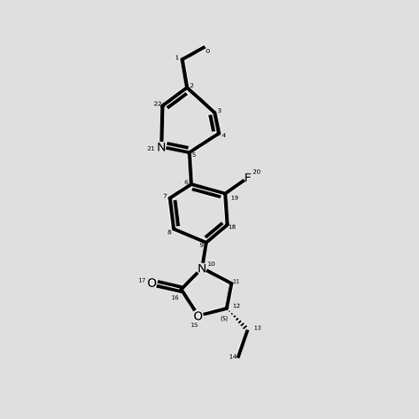 CCc1ccc(-c2ccc(N3C[C@H](CC)OC3=O)cc2F)nc1